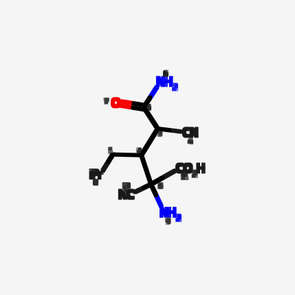 CC(C)CC(C(C#N)C(N)=O)C(N)(C#N)C(=O)O